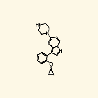 c1ccc(-c2cnn3ccc(N4CCNCC4)nc23)c(OC2CC2)c1